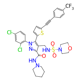 O=C(NN1CCCCC1)c1nn(-c2ccc(Cl)cc2Cl)c(-c2ccc(C#Cc3ccc(C(F)(F)F)cc3)s2)c1CNS(=O)(=O)N1CCOCC1